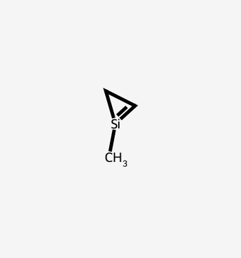 C[Si]1=CC1